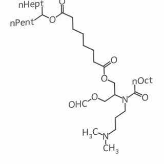 CCCCCCCCC(=O)N(CCCN(C)C)C(COC=O)COC(=O)CCCCCCC(=O)OC(CCCCC)CCCCCCC